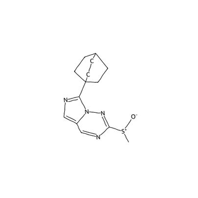 C[S+]([O-])c1ncc2cnc(C34CCC(CC3)CC4)n2n1